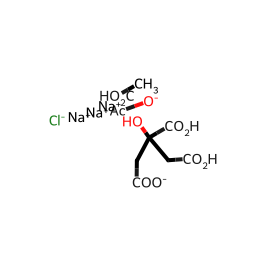 CC(=O)O.CC(=O)[O-].O=C([O-])CC(O)(CC(=O)O)C(=O)O.[Cl-].[Na+].[Na+].[Na+]